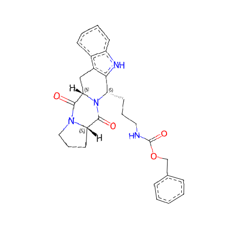 O=C(NCCC[C@H]1c2[nH]c3ccccc3c2C[C@H]2C(=O)N3CCC[C@H]3C(=O)N21)OCc1ccccc1